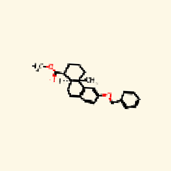 COC(=O)C1CCC[C@]2(C)c3cc(OCc4ccccc4)ccc3CC[C@@H]12